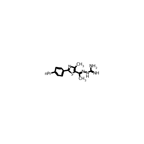 CCCc1ccc(-c2nc(C)c(C(C)=NNC(=N)N)s2)cc1